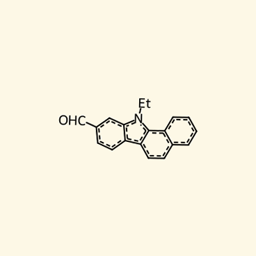 CCn1c2cc(C=O)ccc2c2ccc3ccccc3c21